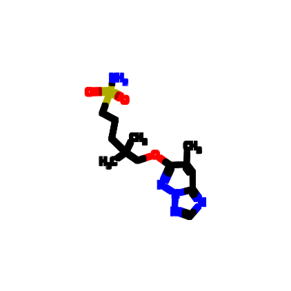 Cc1cc2ncnn2nc1OCC(C)(C)CCCS(N)(=O)=O